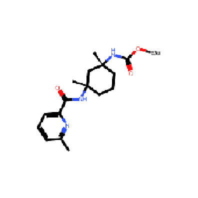 Cc1cccc(C(=O)N[C@@]2(C)CCC[C@@](C)(NC(=O)OC(C)(C)C)C2)n1